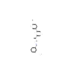 COc1cccc(/C=N/NC(=O)c2cncc(-c3ccc(OC(F)(F)F)nc3)n2)c1